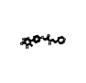 CC1NC(=O)NN=C1c1ccc(OCC(=O)NCCN2CCOCC2)cc1